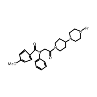 COc1ccc(C(=O)N(CC(=O)N2CCC(N3CCN(C(C)C)CC3)CC2)c2ccccc2)cc1